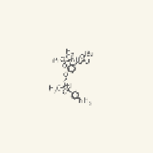 Cc1oc(-c2ccc(N)cc2)nc1CCOc1ccc(CCC(=O)OC(C)(C)C)c(C(C)(N)C(=O)OC(C)C)c1